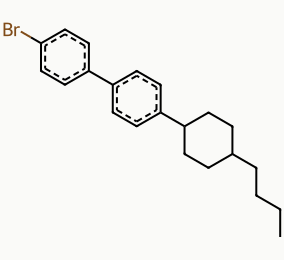 CCCCC1CCC(c2ccc(-c3ccc(Br)cc3)cc2)CC1